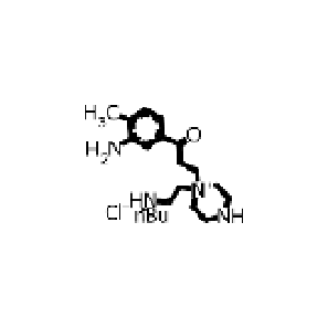 CCCCNCC[N+]1(CCC(=O)c2ccc(C)c(N)c2)CCNCC1.[Cl-]